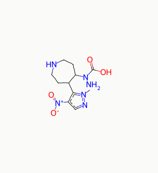 Cn1ncc([N+](=O)[O-])c1C1CCNCCC1N(N)C(=O)O